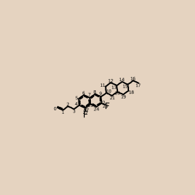 C=CCCc1ccc2cc(C3CCC4CC(CC)CCC4C3)c(F)cc2c1F